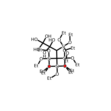 CCO[Si](OCC)(OCC)C(C(O)(O)C(O)(O)O)C([Si](OCC)(OCC)OCC)([Si](OCC)(OCC)OCC)[Si](OCC)(OCC)OCC